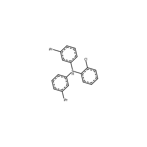 CC(C)c1cccc([SiH](c2cccc(C(C)C)c2)c2ccccc2Cl)c1